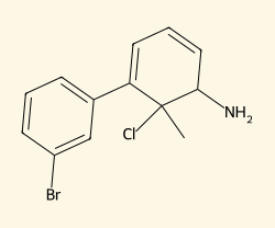 CC1(Cl)C(c2cccc(Br)c2)=CC=CC1N